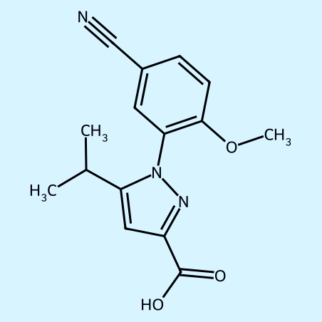 COc1ccc(C#N)cc1-n1nc(C(=O)O)cc1C(C)C